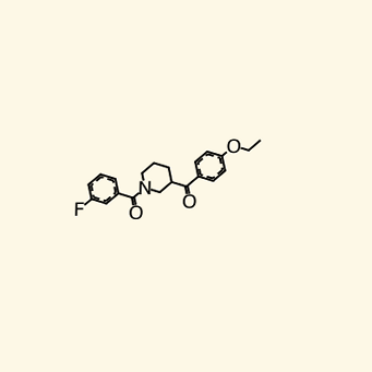 CCOc1ccc(C(=O)C2CCCN(C(=O)c3cccc(F)c3)C2)cc1